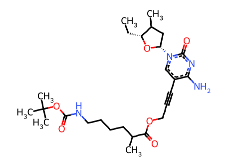 CC[C@H]1O[C@@H](n2cc(C#CCOC(=O)C(C)CCCCNC(=O)OC(C)(C)C)c(N)nc2=O)CC1C